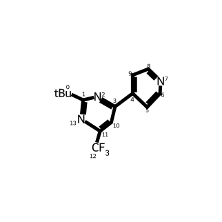 CC(C)(C)c1nc(-c2ccncc2)cc(C(F)(F)F)n1